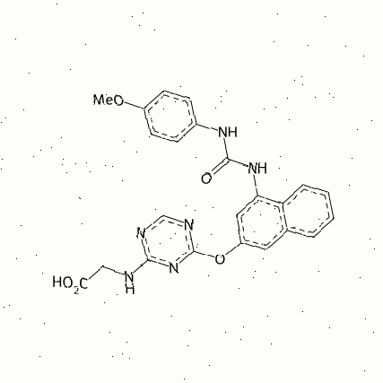 COc1ccc(NC(=O)Nc2cc(Oc3ncnc(NCC(=O)O)n3)cc3ccccc23)cc1